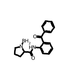 BN1CCCC1C(=O)Nc1ccccc1C(=O)c1ccccc1